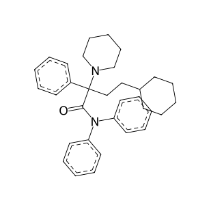 O=C(N(c1ccccc1)c1ccccc1)C(CCC1CCCCC1)(c1ccccc1)N1CCCCC1